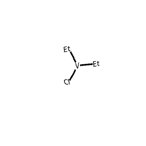 C[CH2][V]([Cl])[CH2]C